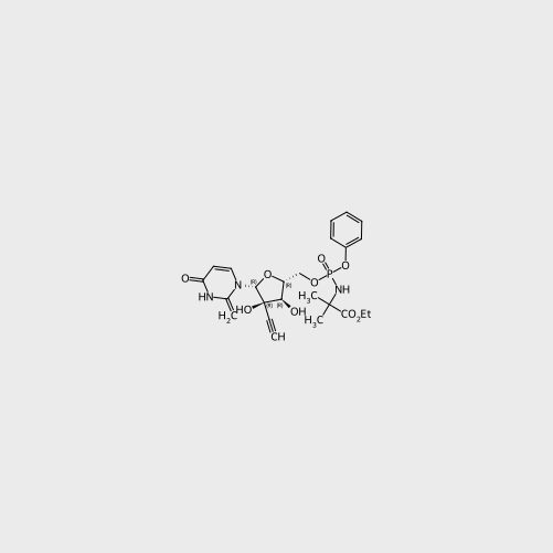 C#C[C@@]1(O)[C@H](O)[C@@H](COP(=O)(NC(C)(C)C(=O)OCC)Oc2ccccc2)O[C@H]1N1C=CC(=O)NC1=C